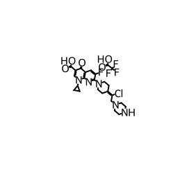 O=C(O)C(F)(F)F.O=C(O)c1cn(C2CC2)c2nc(N3CCC(=C(Cl)CN4CCNCC4)CC3)c(F)cc2c1=O